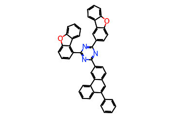 c1ccc(-c2cc3ccc(-c4nc(-c5ccc6oc7ccccc7c6c5)nc(-c5cccc6oc7ccccc7c56)n4)cc3c3ccccc23)cc1